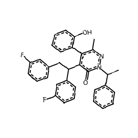 Cc1nn(C(C)c2ccccc2)c(=O)c(C(Cc2cccc(F)c2)c2cccc(F)c2)c1-c1ccccc1O